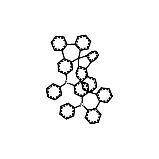 c1ccc(N(c2ccc3c(c2)N(c2ccccc2)c2ccccc2-c2ccccc2-3)c2ccc3c(c2)C2(c4ccccc4-c4ccccc4-3)c3ccccc3-c3c2ccc2ccccc32)cc1